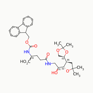 CC1(C)C[C@H]([C@H]2COC(C)(C)O2)[C@@H]([C@@H](O)CNC(=O)CC[C@H](NC(=O)OCC2c3ccccc3-c3ccccc32)C(=O)O)O1